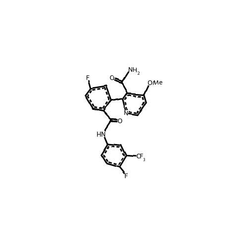 COc1ccnc(-c2cc(F)ccc2C(=O)Nc2ccc(F)c(C(F)(F)F)c2)c1C(N)=O